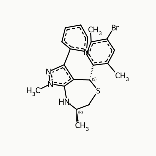 Cc1cc([C@@H]2SC[C@@H](C)Nc3c2c(-c2ccccn2)nn3C)c(C)cc1Br